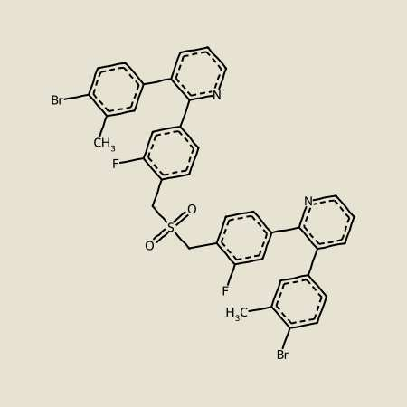 Cc1cc(-c2cccnc2-c2ccc(CS(=O)(=O)Cc3ccc(-c4ncccc4-c4ccc(Br)c(C)c4)cc3F)c(F)c2)ccc1Br